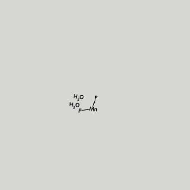 O.O.[F][Mn][F]